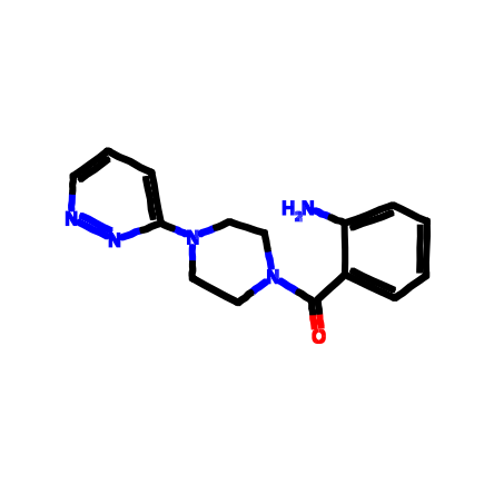 Nc1ccccc1C(=O)N1CCN(c2cccnn2)CC1